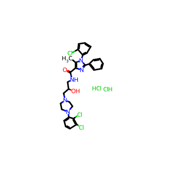 Cc1c(C(=O)NCC(O)CN2CCN(c3cccc(Cl)c3Cl)CC2)nc(-c2ccccc2)n1-c1ccccc1Cl.Cl.Cl